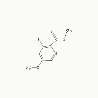 COC(=O)c1ncc(OC)cc1F